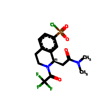 CN(C)C(=O)C[C@@H]1c2cc(S(=O)(=O)Cl)ccc2CCN1C(=O)C(F)(F)F